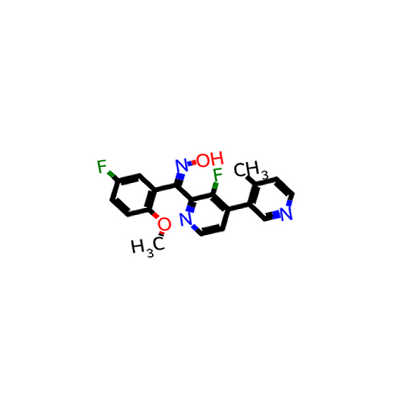 COc1ccc(F)cc1C(=NO)c1nccc(-c2cnccc2C)c1F